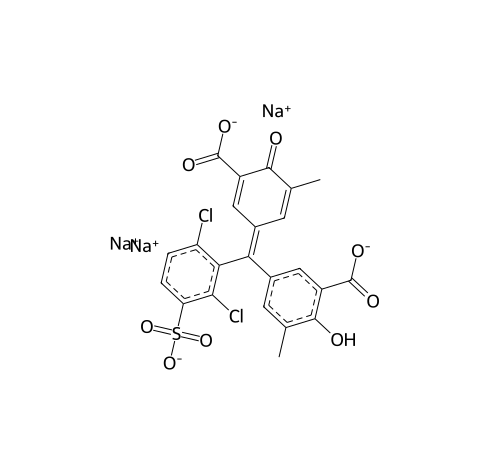 CC1=C/C(=C(\c2cc(C)c(O)c(C(=O)[O-])c2)c2c(Cl)ccc(S(=O)(=O)[O-])c2Cl)C=C(C(=O)[O-])C1=O.[Na+].[Na+].[Na+]